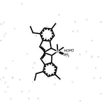 CCc1cc(C)cc2c1C=C(C)[CH]2[Zr]([CH3])([CH3])(=[SiH2])[CH]1C(C)=Cc2c(CC)cc(C)cc21.Cl.Cl